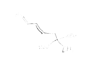 C=C/C=C/CC(C)(CCCC)OC